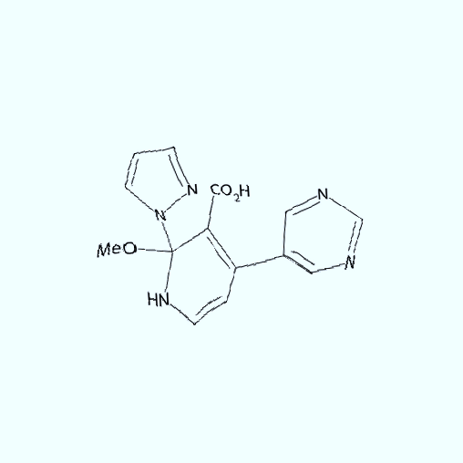 COC1(n2cccn2)NC=CC(c2cncnc2)=C1C(=O)O